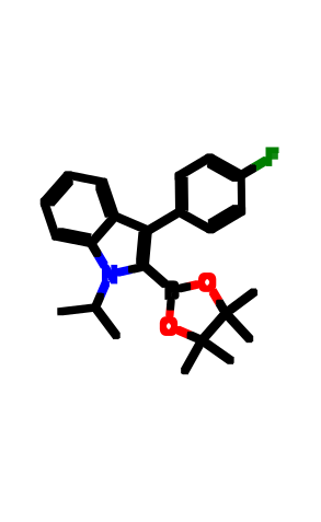 CC(C)n1c(B2OC(C)(C)C(C)(C)O2)c(-c2ccc(F)cc2)c2ccccc21